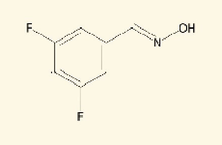 ON=Cc1cc(F)[c]c(F)c1